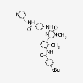 Cc1c(NC(=O)c2ccc(C(C)(C)C)cc2)cccc1-c1cn(C)c(=O)c(Nc2ccc(C(=O)NCc3cccnc3)cc2)n1